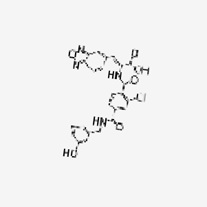 O=C(O)/C(=C/c1ccc2nonc2c1)NC(=O)c1ccc(C(=O)NCc2cccc(O)c2)cc1Cl